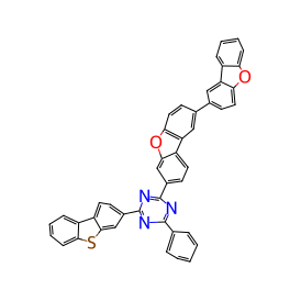 c1ccc(-c2nc(-c3ccc4c(c3)oc3ccc(-c5ccc6oc7ccccc7c6c5)cc34)nc(-c3ccc4c(c3)sc3ccccc34)n2)cc1